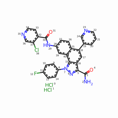 Cl.Cl.NC(=O)c1nn(-c2ccc(F)cc2)c2c1cc(-c1cccnc1)c1ccc(NC(=O)c3ccncc3Cl)cc12